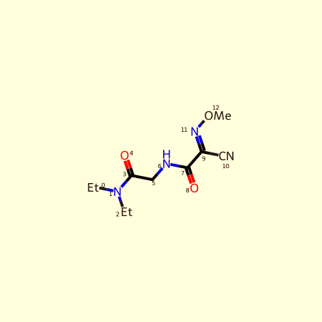 CCN(CC)C(=O)CNC(=O)C(C#N)=NOC